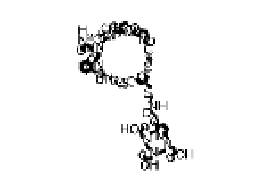 CC[C@@H]1NC(=O)[C@@H]2CCCN2C(=O)[C@@H]2CCCN2C(=O)CCSCc2cc(CSCCNC(=O)COc3ccc4nc3CN(CC(=O)O)CCN(CC(=O)O)CCN(CC(=O)O)C4)cc(c2)CSCCNC(=O)[C@H](Cc2ccccc2)NC(=O)[C@H](CCC(N)=O)NC1=O